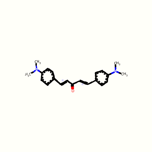 CN(C)c1ccc(/C=C/C(=O)/C=C/c2ccc(N(C)C)cc2)cc1